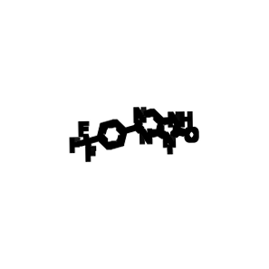 Cn1c(=O)[nH]c2cnc(-c3ccc(C(F)(F)F)cc3)nc21